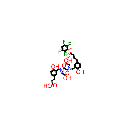 O=C(O)CCc1ccc(O)c(CN(CCN(CC(=O)O)Cc2cc(CCCC(=O)Oc3c(F)c(F)cc(F)c3F)ccc2O)CC(=O)O)c1